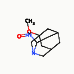 COC12CC3CC(C1)C(N=O)N(C3)C2